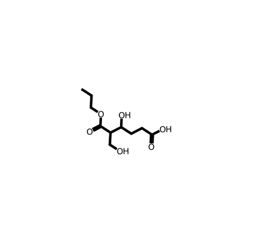 CCCOC(=O)C(CO)C(O)CCC(=O)O